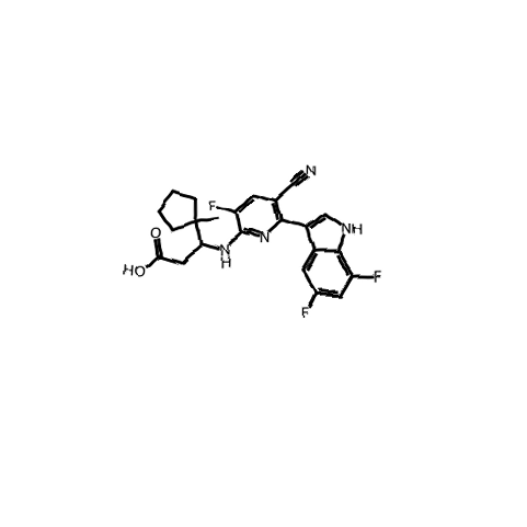 CC1(C(CC(=O)O)Nc2nc(-c3c[nH]c4c(F)cc(F)cc34)c(C#N)cc2F)CCCC1